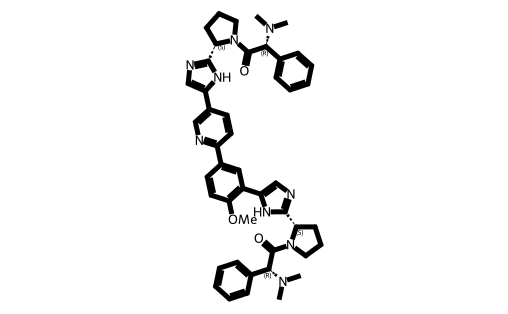 COc1ccc(-c2ccc(-c3cnc([C@@H]4CCCN4C(=O)[C@@H](c4ccccc4)N(C)C)[nH]3)cn2)cc1-c1cnc([C@@H]2CCCN2C(=O)[C@@H](c2ccccc2)N(C)C)[nH]1